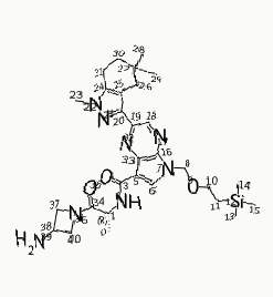 C[C@@H](NC(=O)c1cn(COCC[Si](C)(C)C)c2ncc(-c3nn(C)c4c3CC(C)(C)CC4)nc12)C(=O)N1CC(N)C1